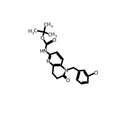 CC(C)(C)OC(=O)Nc1ccc2c(n1)CCC(=O)N2Cc1cccc(Cl)c1